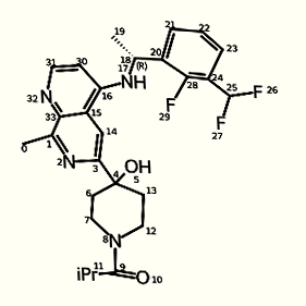 Cc1nc(C2(O)CCN(C(=O)C(C)C)CC2)cc2c(N[C@H](C)c3cccc(C(F)F)c3F)ccnc12